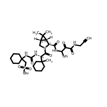 C#CCNC(=O)C(=O)C(CCC)NC(=O)[C@@H]1[C@@H]2[C@H](CN1C(=O)[C@@H](NC(=O)NC1(CS(=O)(=O)C(C)(C)C)CCCCC1)C1(C)CCCCC1)C2(C)C